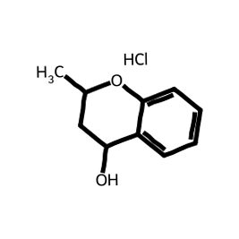 CC1CC(O)c2ccccc2O1.Cl